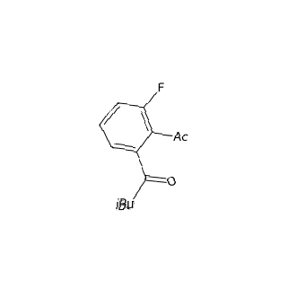 CCC(C)C(=O)c1cccc(F)c1C(C)=O